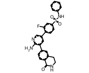 Nc1ncc(-c2ccc(S(=O)(=O)Nc3ccccc3)cc2F)cc1-c1ccc2c(c1)CCNC2=O